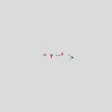 CC(C)(C)OC(=O)NCC(=O)OCC(Cl)(Cl)Cl